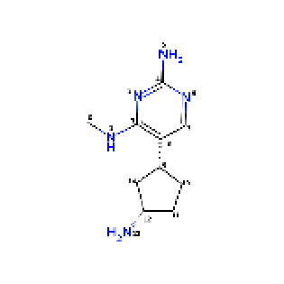 CNc1nc(N)ncc1[C@@H]1CC[C@H](N)C1